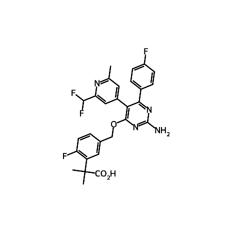 Cc1cc(-c2c(OCc3ccc(F)c(C(C)(C)C(=O)O)c3)nc(N)nc2-c2ccc(F)cc2)cc(C(F)F)n1